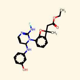 CCOC(=O)CC1(C)Oc2c(N3C(NF)=NC=CC3Nc3cccc(O)c3)cccc21